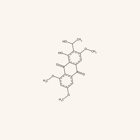 COc1cc(OC)c2c(c1)C(=O)c1cc(OC)c(C(C)O)c(O)c1C2=O